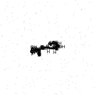 CCc1c(F)ccc2cc(O)cc(-c3ncc4c(N5CC6CCC(C5)N6)nc(OCC56CCCN5C(COC(=O)NCCCCC(=O)N[C@H](C(=O)N5C[C@H](O)C[C@H]5C(=O)N[C@@H](C)c5ccc(-c7scnc7C)cc5)C(C)(C)C)CC6)nc4c3F)c12